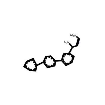 CN/C=C\C(N)c1cccc(-c2ccc(-c3ccccc3)cc2)c1